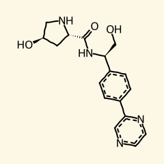 O=C(N[C@@H](CO)c1ccc(-c2cnccn2)cc1)[C@@H]1C[C@@H](O)CN1